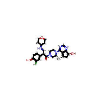 C[C@@H]1C[C@H](O)c2ncnc(N3CCN(C(=O)[C@H](CNC4CCOCC4)c4ccc(O)c(F)c4)CC3)c21